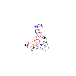 CNC(=O)/C=C\N(C=O)C1OC(OCP(OC)OC)C(OP(OCCC#N)N(C(C)C)C(C)C)C1OC